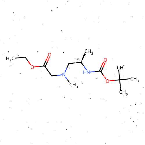 CCOC(=O)CN(C)C[C@@H](C)NC(=O)OC(C)(C)C